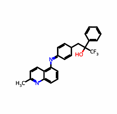 Cc1ccc2c(N=C3C=CC(CC(O)(c4ccccc4)C(F)(F)F)C=C3)cccc2n1